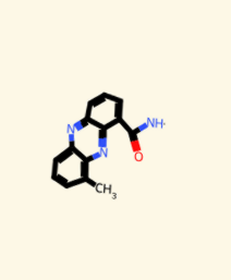 Cc1cccc2nc3cccc(C([NH])=O)c3nc12